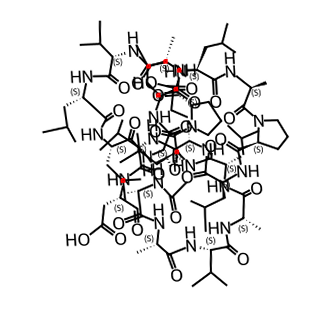 CC(=O)N[C@@H](C)C(=O)N[C@@H](C)C(=O)N[C@H](C(=O)N[C@@H](C)C(=O)N[C@@H](CC(C)C)C(=O)N[C@@H](CC(C)C)C(=O)N1CCC[C@H]1C(=O)N[C@@H](C)C(=O)N[C@H](C(=O)N[C@@H](CC(C)C)C(=O)N[C@@H](CC(C)C)C(=O)N[C@@H](C)C(=O)N[C@@H](CC(C)C)C(=O)N[C@@H](CC(C)C)C(=O)N[C@@H](C)C(=O)N1CCC[C@H]1C(=O)N[C@@H](CC(C)C)C(=O)N[C@@H](CCC(=O)O)C(=O)N[C@H](C(=O)N[C@H](C=O)CC(=O)O)C(C)C)C(C)C)C(C)C